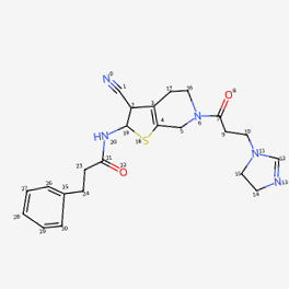 N#CC1C2=C(CN(C(=O)CCN3C=NCC3)CC2)SC1NC(=O)CCc1ccccc1